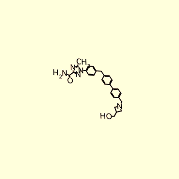 Cc1nc(C(N)=O)nn1-c1ccc(Cc2ccc(-c3ccc(CN4CC(CO)C4)cc3)cc2)cc1